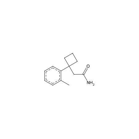 Cc1ccccc1C1(CC(N)=O)CCC1